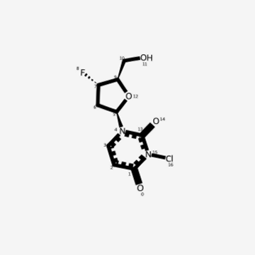 O=c1ccn([C@H]2C[C@H](F)[C@@H](CO)O2)c(=O)n1Cl